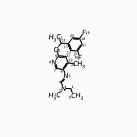 CCN(C)/C=N/c1cnc(OC(C)c2cc(F)cc(F)c2)cc1C